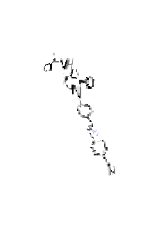 CC(=O)NC[C@H]1CN(c2ccc(/C=C/c3ccc(C#N)cc3)cc2)C(=O)O1